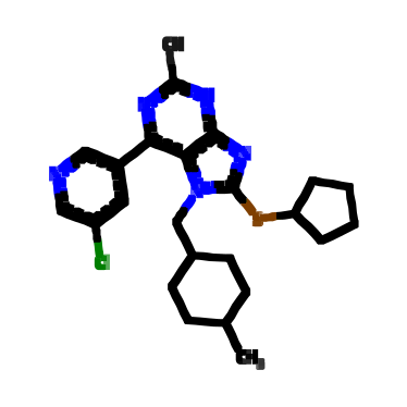 CC1CCC(Cn2c(SC3CCCC3)nc3nc(C#N)nc(-c4cncc(Cl)c4)c32)CC1